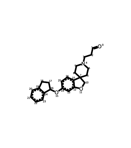 O=CCCN1CCC2(CC1)COc1cc(OC3CCc4ccccc43)ccc12